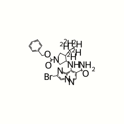 [2H]C([2H])([2H])C([2H])([2H])C1CN(C(=O)OCc2ccccc2)CC1Nc1c(C(N)=O)cnn2cc(Br)nc12